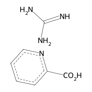 N=C(N)N.O=C(O)c1ccccn1